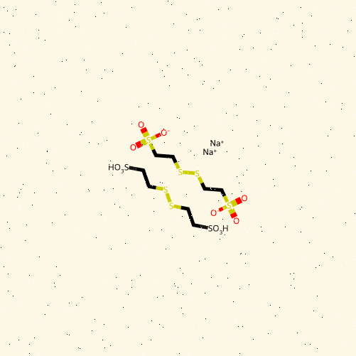 O=S(=O)(O)CCSSCCS(=O)(=O)O.O=S(=O)([O-])CCSSCCS(=O)(=O)[O-].[Na+].[Na+]